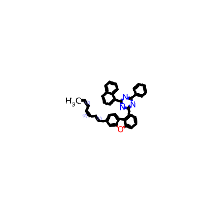 C\C=C/C=C\C=C\c1ccc2c(c1)oc1cccc(-c3nc(-c4ccccc4)nc(-c4cccc5ccccc45)n3)c12